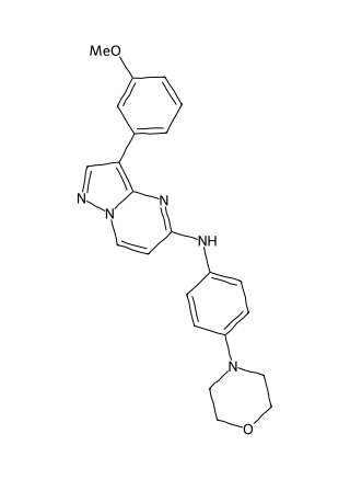 COc1cccc(-c2cnn3ccc(Nc4ccc(N5CCOCC5)cc4)nc23)c1